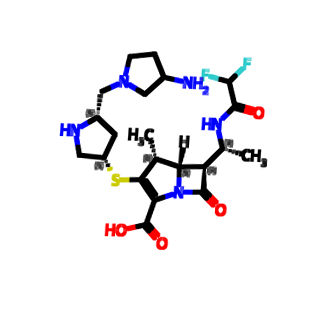 C[C@@H](NC(=O)C(F)F)[C@H]1C(=O)N2C(C(=O)O)=C(S[C@@H]3CN[C@H](CN4CCC(N)C4)C3)[C@H](C)[C@H]12